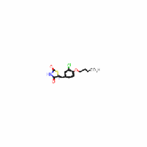 O=C(O)CCCOc1ccc(/C=C2\SC(=O)NC2=O)cc1Cl